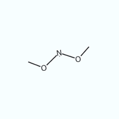 CO[N]OC